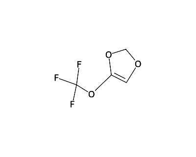 FC(F)(F)OC1=COCO1